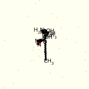 CCCCCCCCCCCCCCCCCCOC[C@H](COP(=O)(O)OC[C@@]1(C)O[C@@H](c2ccc3c(N)ncnn23)[C@H](O)[C@@H]1O)OCc1ccc(C#N)c(-n2cncn2)c1